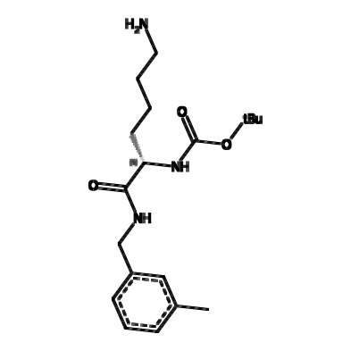 Cc1cccc(CNC(=O)[C@H](CCCCN)NC(=O)OC(C)(C)C)c1